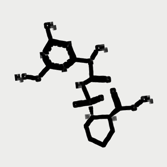 COC(=O)[C@H]1CCCC[C@@H]1S(=O)(=O)NC(=O)N(C)c1nc(C)nc(OC)n1